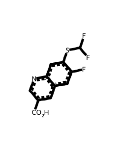 O=C(O)c1cnc2cc(SC(F)F)c(F)cc2c1